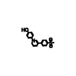 CS(=O)(=O)c1ccc(C2=CN(c3ccc(O)cc3)CC=C2)cc1